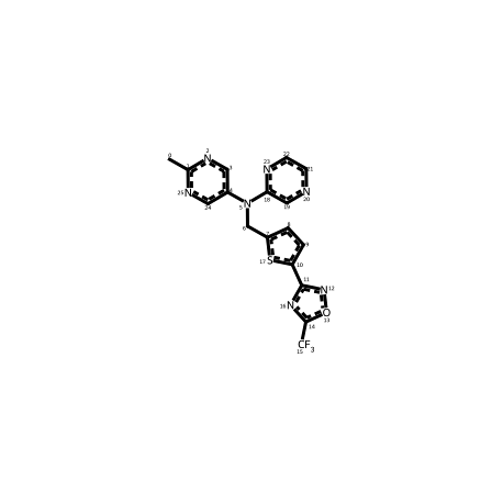 Cc1ncc(N(Cc2ccc(-c3noc(C(F)(F)F)n3)s2)c2cnccn2)cn1